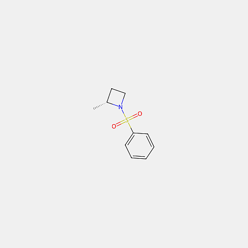 C[C@@H]1CCN1S(=O)(=O)c1ccccc1